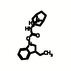 CCC1CN(OC(=O)NC2CC3CCC(C2)N3C)c2ccccc21